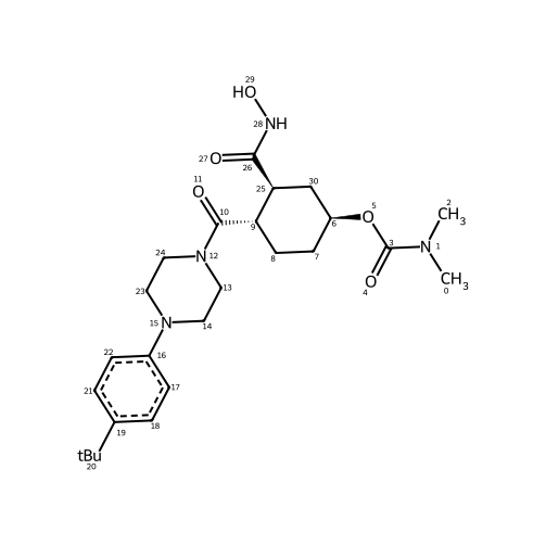 CN(C)C(=O)O[C@H]1CC[C@H](C(=O)N2CCN(c3ccc(C(C)(C)C)cc3)CC2)[C@@H](C(=O)NO)C1